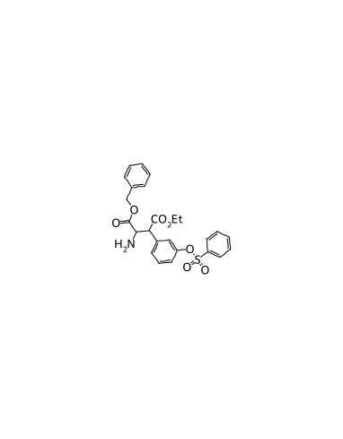 CCOC(=O)C(c1cccc(OS(=O)(=O)c2ccccc2)c1)C(N)C(=O)OCc1ccccc1